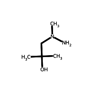 CN(N)CC(C)(C)O